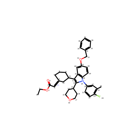 CCOC(=O)/C=C1\CCCC(c2c(C3CCOCC3)n(-c3ccc(F)c(C)c3)c3ccc(OCc4ccccc4)cc23)C1